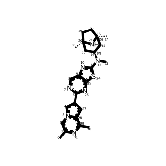 Cc1cn2cc(-c3ncc4nc(N(C)[C@@H]5C[C@]6(C)CC[C@](C)(C5)N6)sc4n3)cc2c(C)n1